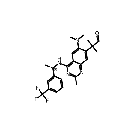 Cc1nc(N[C@H](C)c2cccc(C(F)(F)F)c2)c2cc(N(C)C)c(C(C)(C)C=O)cc2n1